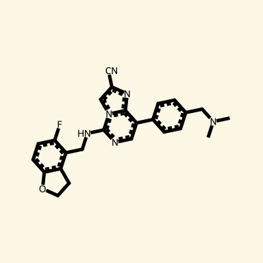 CN(C)Cc1ccc(-c2cnc(NCc3c(F)ccc4c3CCO4)n3cc(C#N)nc23)cc1